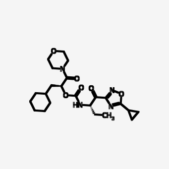 CC[C@H](NC(=O)O[C@@H](CC1CCCCC1)C(=O)N1CCOCC1)C(=O)c1noc(C2CC2)n1